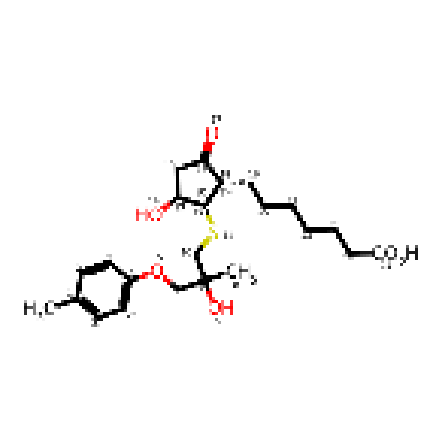 Cc1ccc(OCC(C)(O)CS[C@H]2C(O)CC(=O)[C@@H]2CCCCCCC(=O)O)cc1